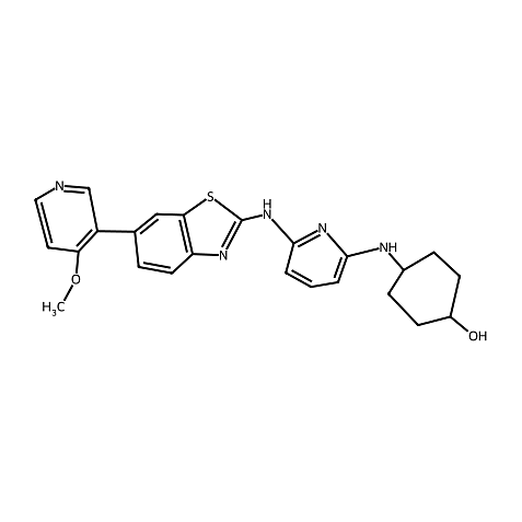 COc1ccncc1-c1ccc2nc(Nc3cccc(NC4CCC(O)CC4)n3)sc2c1